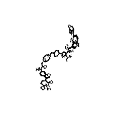 O=C1CCC(c2coc3cc(NC(=O)CN4CCN(CC5CCC(n6cc(NC(=O)c7cnn8ccc(N9CC%10CC9CO%10)nc78)c(C(F)F)n6)CC5)CC4)ccc23)C(=O)N1